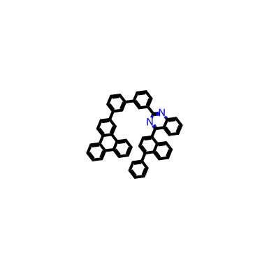 c1ccc(-c2ccc(-c3nc(-c4cccc(-c5cccc(-c6ccc7c8ccccc8c8ccccc8c7c6)c5)c4)nc4ccccc34)c3ccccc23)cc1